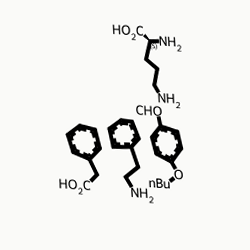 CCCCOc1ccc(C=O)cc1.NCCC[C@H](N)C(=O)O.NCCc1ccccc1.O=C(O)Cc1ccccc1